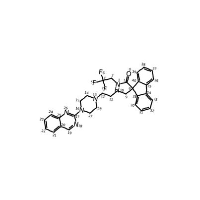 O=C(NCC(F)(F)F)C1(CCCCN2CCN(c3ncc4ccccc4n3)CC2)c2ccccc2-c2ccccc21